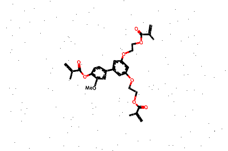 C=C(C)C(=O)OCCOc1cc(OCCOC(=O)C(=C)C)cc(-c2ccc(OC(=O)C(=C)C)c(OC)c2)c1